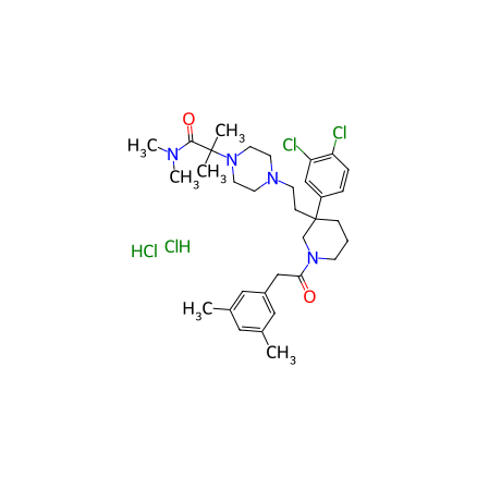 Cc1cc(C)cc(CC(=O)N2CCCC(CCN3CCN(C(C)(C)C(=O)N(C)C)CC3)(c3ccc(Cl)c(Cl)c3)C2)c1.Cl.Cl